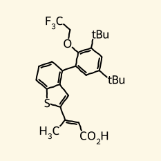 CC(=CC(=O)O)c1cc2c(-c3cc(C(C)(C)C)cc(C(C)(C)C)c3OCC(F)(F)F)cccc2s1